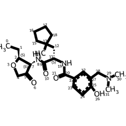 CC[C@@H]1OCC(=O)[C@H]1NC(=O)[C@H](CC1(C)CCCC1)NC(=O)c1ccc(O)c(CN(C)C)c1